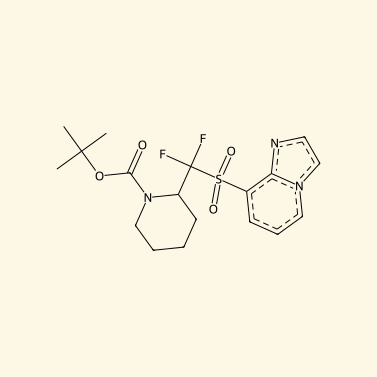 CC(C)(C)OC(=O)N1CCCCC1C(F)(F)S(=O)(=O)c1cccn2ccnc12